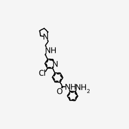 Nc1ccccc1NC(=O)c1ccc(-c2ncc(CNCCN3CCCC3)cc2Cl)cc1